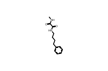 CNC(=O)C(=O)NCCCCc1[c]cccc1